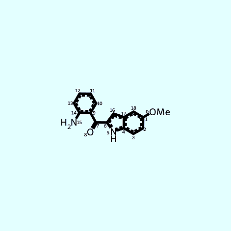 COc1ccc2[nH]c(C(=O)c3ccccc3N)cc2c1